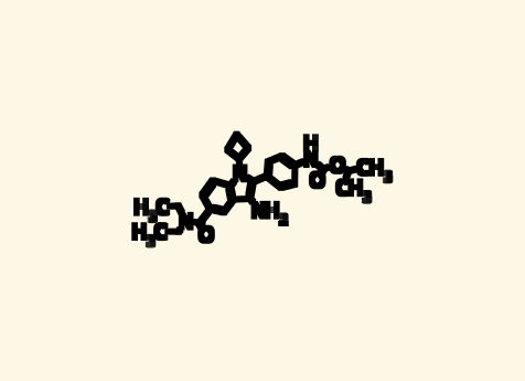 CCN(CC)C(=O)c1ccc2c(c1)c(N)c(-c1ccc(NC(=O)OC(C)C)cc1)n2C1CCC1